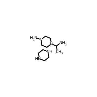 C1CNCCN1.CC(N)N1CCN(N)CC1